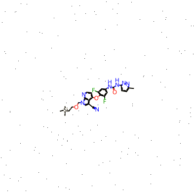 Cc1ccc(NC(=O)Nc2cc(F)c(Oc3ccnc4c3c(C#N)cn4COCC[Si](C)(C)C)c(F)c2)nn1